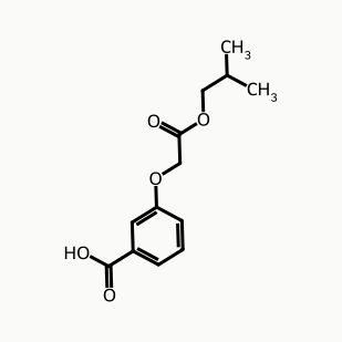 CC(C)COC(=O)COc1cccc(C(=O)O)c1